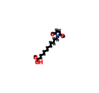 O=C(O)CCCCCCCCCCCN1C(=O)C=CC1=O